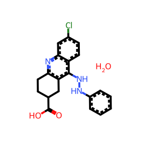 O.O=C(O)C1CCc2nc3cc(Cl)ccc3c(NNc3ccccc3)c2C1